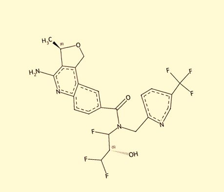 C[C@H]1OCc2c1c(N)nc1ccc(C(=O)N(Cc3ccc(C(F)(F)F)cn3)C(F)[C@H](O)C(F)F)cc21